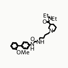 CCN(CC)C(=O)C1CCCN(CCCCNC(=O)Nc2ccc(-c3ccccc3OC)cc2)C1